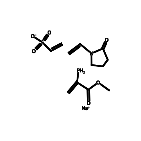 C=C(P)C(=O)OC.C=CN1CCCC1=O.C=CS(=O)(=O)[O-].[Na+]